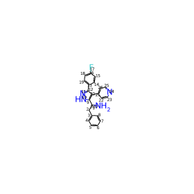 N[C@@H](Cc1ccccc1)c1[nH]nc(-c2ccc(F)cc2)c1-c1ccncc1